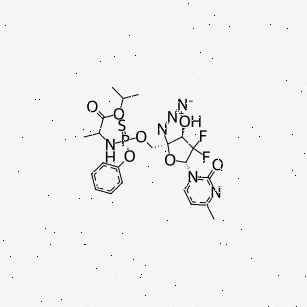 Cc1ccn([C@@H]2O[C@@](COP(=S)(NC(C)C(=O)OC(C)C)Oc3ccccc3)(N=[N+]=[N-])[C@@H](O)C2(F)F)c(=O)n1